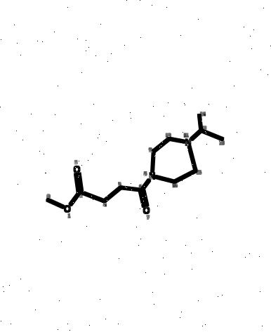 COC(=O)CCC(=O)N1CCN(C(C)C)CC1